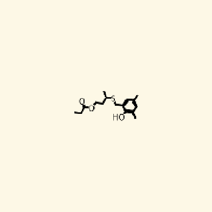 CCC(=O)OCCC(C)SCc1cc(C)cc(C)c1O